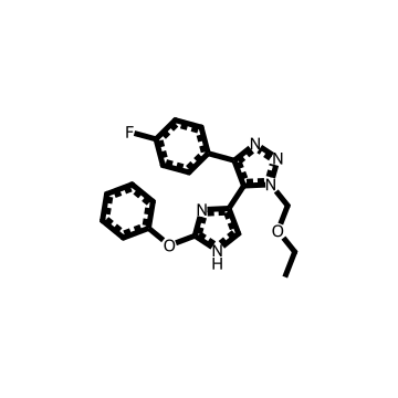 CCOCn1nnc(-c2ccc(F)cc2)c1-c1c[nH]c(Oc2ccccc2)n1